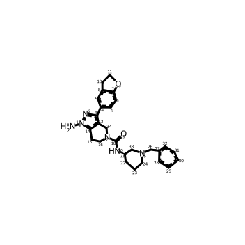 Nn1nc(-c2ccc3c(c2)CCO3)c2c1CCN(C(=O)N[C@@H]1CCCN(Cc3ccccc3)C1)C2